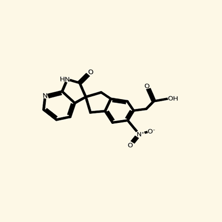 O=C(O)Cc1cc2c(cc1[N+](=O)[O-])CC1(C2)C(=O)Nc2ncccc21